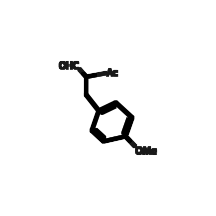 COc1ccc(CC(C=O)C(C)=O)cc1